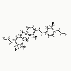 CCCc1ccc(CCc2ccc3c(c2F)Oc2c(cc(CCC)c(F)c2F)C3)cc1F